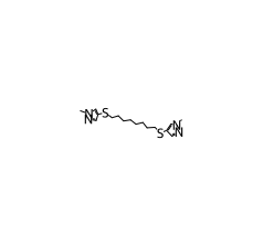 Cn1cc(SCCCCCCCCSc2cnn(C)c2)cn1